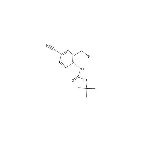 CC(C)(C)OC(=O)Nc1ccc(C#N)cc1CBr